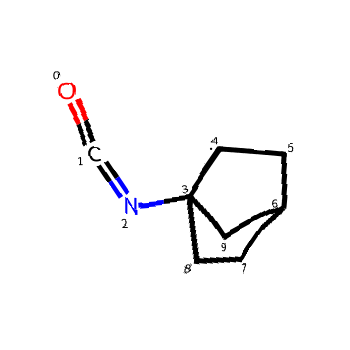 O=C=NC12[CH]CC(CC1)C2